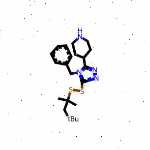 CC(C)(C)CC(C)(C)SSc1nnc(C2CCNCC2)n1Cc1ccccc1